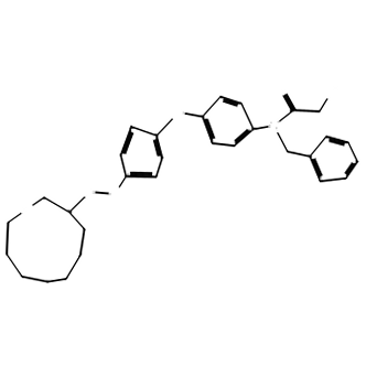 O=C(CCl)N(Cc1ccccc1)c1ccc(Oc2ccc(OBC3CCCCCCCCC3)cc2)cc1